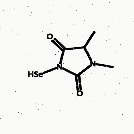 CC1C(=O)N([SeH])C(=O)N1C